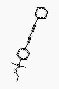 CCO[Si](C)(C)c1ccc(C#CC#Cc2ccccc2)cc1